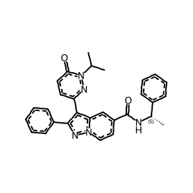 CC(C)n1nc(-c2c(-c3ccccc3)nn3ccc(C(=O)N[C@@H](C)c4ccccc4)cc23)ccc1=O